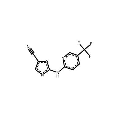 N#Cc1cnc(Nc2ccc(C(F)(F)F)cn2)s1